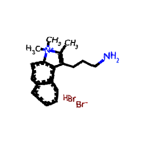 Br.CC1=C(CCCN)c2c(ccc3ccccc23)[N+]1(C)C.[Br-]